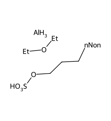 CCCCCCCCCCCCOS(=O)(=O)O.CCOCC.[AlH3]